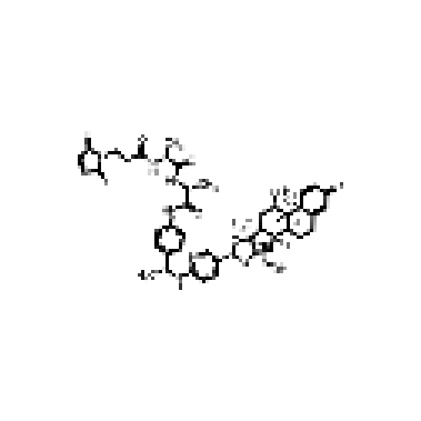 C[C@H](NC(=O)CCN1C(=O)C=CC1=O)C(=O)N[C@@H](C)C(=O)Nc1ccc([C@H](C)Nc2ccc([C@@H]3OC4C[C@H]5[C@@H]6CCC7=CC(=O)C=C[C@]7(C)[C@@]6(F)[C@@H](O)C[C@]5(C)[C@]4(C(=O)CO)O3)cn2)cc1